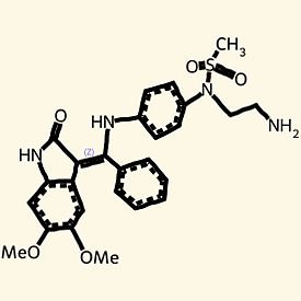 COc1cc2c(cc1OC)/C(=C(/Nc1ccc(N(CCN)S(C)(=O)=O)cc1)c1ccccc1)C(=O)N2